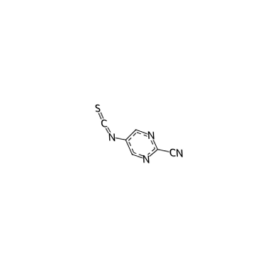 N#Cc1ncc(N=C=S)cn1